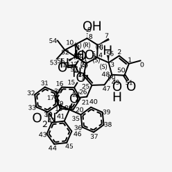 CC1=C[C@H]2[C@@]3(O)[C@H](C)[C@@H](O)[C@]4(OC(=O)Oc5ccc([N+](=O)[O-])cc5)[C@H]([C@@H]3C=C(COC(c3ccccc3)(c3ccccc3)c3ccccc3)C[C@]2(O)C1=O)C4(C)C